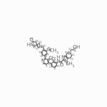 COc1cc(-c2nccc(-c3cccc(NC(=O)c4nc5c(n4C)CCN(CCO)C5)c3Cl)c2Cl)ccc1CN1CC2(CNC(=O)C2)C1